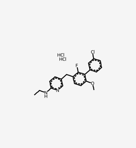 CCNc1ccc(Cc2ccc(OC)c(-c3cccc(Cl)c3)c2F)cn1.Cl.Cl